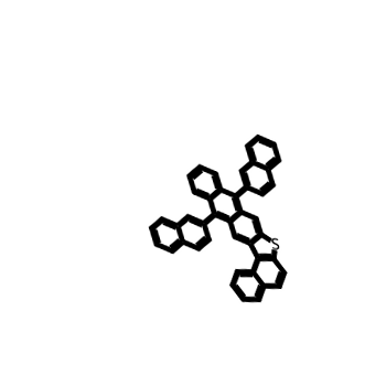 c1ccc2cc(-c3c4ccccc4c(-c4ccc5ccccc5c4)c4cc5c(cc34)sc3ccc4ccccc4c35)ccc2c1